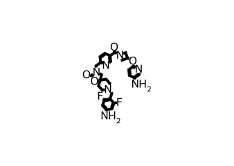 Nc1ccc(OC2CN(C(=O)c3ccc(CN4CC5(CCN(Cc6c(F)cc(N)cc6F)CC5)OC4=O)nc3)C2)nc1